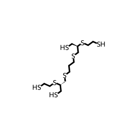 SCCS[C@H](CS)CSCCCSC[C@H](CS)SCCS